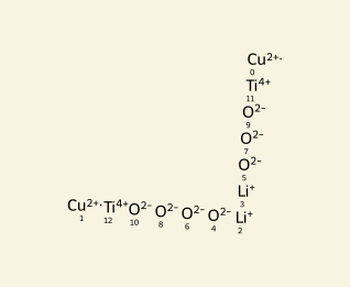 [Cu+2].[Cu+2].[Li+].[Li+].[O-2].[O-2].[O-2].[O-2].[O-2].[O-2].[O-2].[Ti+4].[Ti+4]